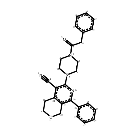 N#Cc1c(N2CCN(C(=O)Cc3ccccc3)CC2)nc(-c2ccccc2)c2c1CCOC2